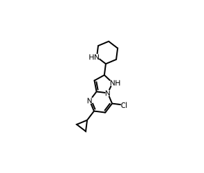 ClC1=CC(C2CC2)=NC2=CC(C3CCCCN3)NN12